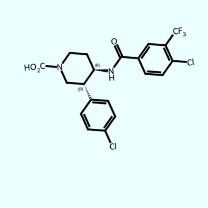 O=C(N[C@@H]1CCN(C(=O)O)C[C@H]1c1ccc(Cl)cc1)c1ccc(Cl)c(C(F)(F)F)c1